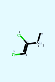 C[SiH2]C(Cl)=CCl